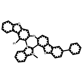 Cc1ccc2c(oc3ccc(-c4ccccc4)cc32)c1-c1n(-c2c(C(C)C)cc3oc4ccccc4c3c2C(C)C)c2ccccc2[n+]1C